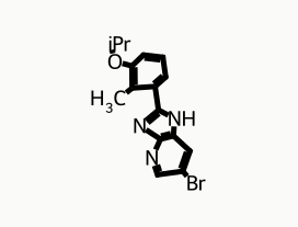 Cc1c(OC(C)C)cccc1-c1nc2ncc(Br)cc2[nH]1